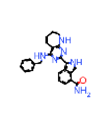 NC(=O)c1cccc2c(-c3nc4c(c(NCc5ccccc5)n3)CCCCN4)[nH]cc12